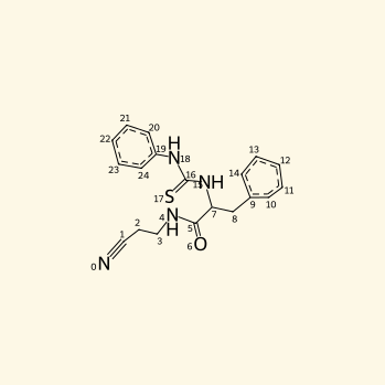 N#CCCNC(=O)C(Cc1ccccc1)NC(=S)Nc1ccccc1